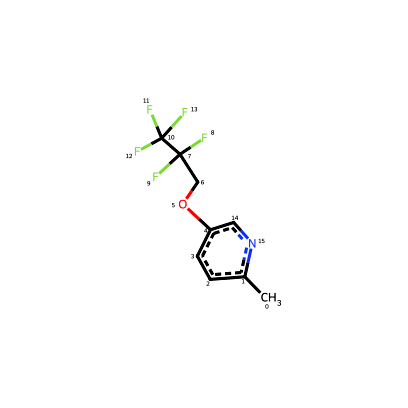 Cc1ccc(OCC(F)(F)C(F)(F)F)cn1